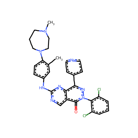 Cc1cc(Nc2ncc3c(=O)n(-c4c(Cl)cccc4Cl)nc(-c4ccncc4)c3n2)ccc1N1CCCN(C)CC1